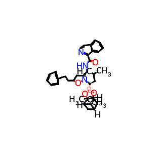 CC(C)C[C@@H](B1O[C@@H]2C[C@@H]3C[C@@H](C3(C)C)[C@]2(C)O1)N1OC(CCc2ccccc2)CC1CNC(=O)c1nccc2ccccc12